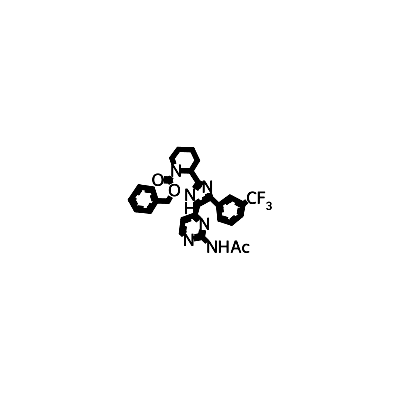 CC(=O)Nc1nccc(-c2[nH]c(C3CCCCN3C(=O)OCc3ccccc3)nc2-c2cccc(C(F)(F)F)c2)n1